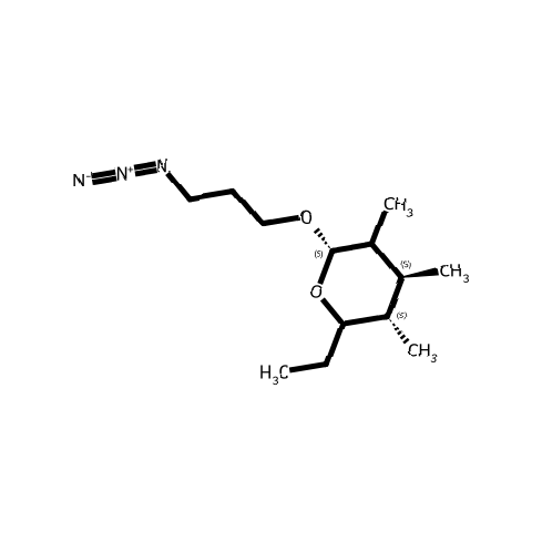 CCC1O[C@H](OCCCN=[N+]=[N-])C(C)[C@@H](C)[C@@H]1C